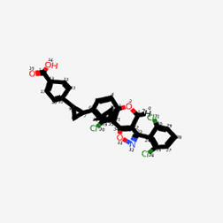 [2H]C(Oc1ccc(C2CC2c2ccc(C(=O)O)cc2)c(Cl)c1)c1c(-c2c(Cl)cccc2Cl)noc1C1CC1